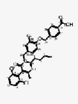 CCCCc1nc(C)c(-c2c(Cl)cccc2Cl)c(=O)n1Cc1ccc(OCc2ccc(C(=O)O)cc2)c(Cl)c1